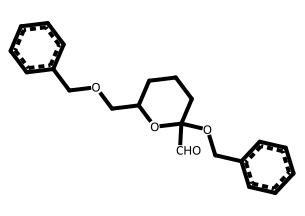 O=CC1(OCc2ccccc2)CCCC(COCc2ccccc2)O1